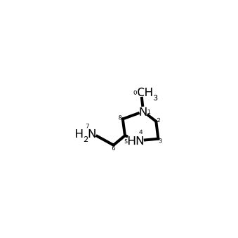 CN1CCNC(CN)C1